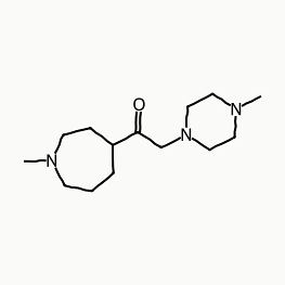 CN1CCCC(C(=O)CN2CCN(C)CC2)CC1